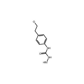 CCCCNC(=O)Nc1ccc(CC[O])cc1